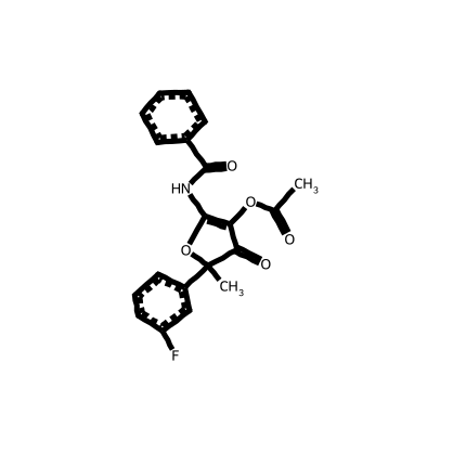 CC(=O)OC1=C(NC(=O)c2ccccc2)OC(C)(c2cccc(F)c2)C1=O